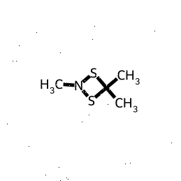 CN1SC(C)(C)S1